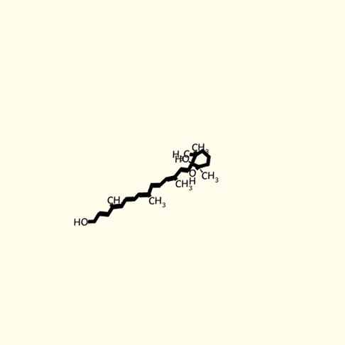 CC(/C=C/C=C(C)/C=C/[C@@]1(O)C(C)(C)CCC[C@@]1(C)O)=C\C=C\C=C(C)\C=C\CO